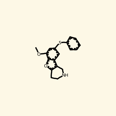 COc1cc(Sc2ccccc2)cc2c3c(oc12)CCNC3